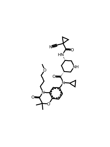 COCCCN1C(=O)C(C)(C)Oc2ccc(N(C(=O)[C@H]3CNC[C@@H](NC(=O)C4(C#N)CC4)C3)C3CC3)cc21